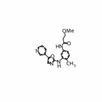 COCCC(=O)Nc1ccc(C)c(Nc2ncc(-c3cccnc3)o2)c1